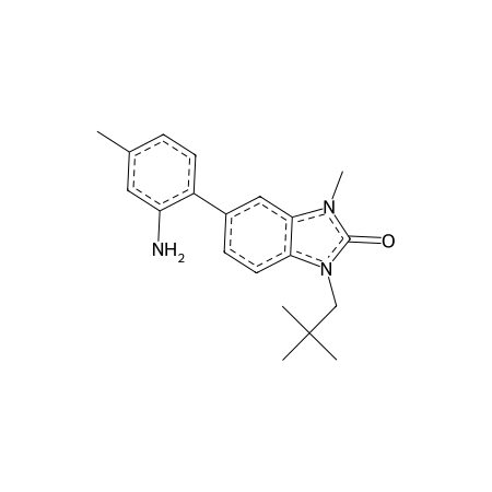 Cc1ccc(-c2ccc3c(c2)n(C)c(=O)n3CC(C)(C)C)c(N)c1